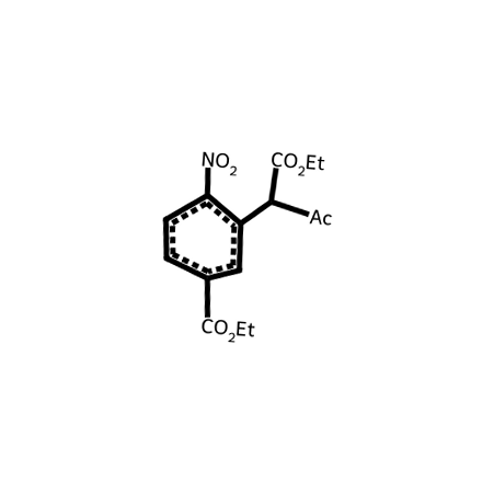 CCOC(=O)c1ccc([N+](=O)[O-])c(C(C(C)=O)C(=O)OCC)c1